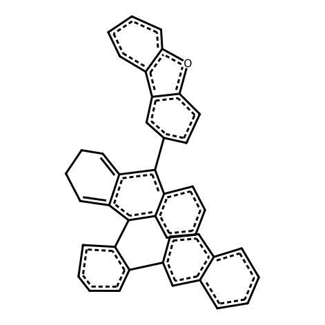 C1=c2c(-c3ccc4oc5ccccc5c4c3)c3ccccc3c(-c3ccccc3-c3ccc4ccccc4c3)c2=CCC1